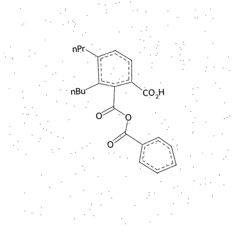 CCCCc1c(CCC)ccc(C(=O)O)c1C(=O)OC(=O)c1ccccc1